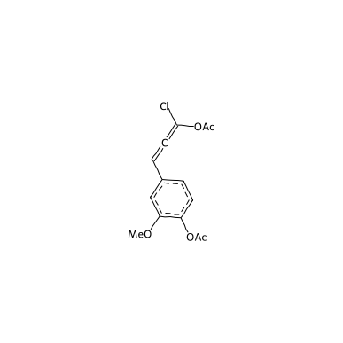 COc1cc(C=C=C(Cl)OC(C)=O)ccc1OC(C)=O